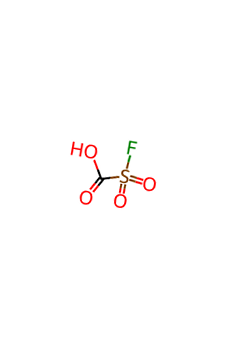 O=C(O)S(=O)(=O)F